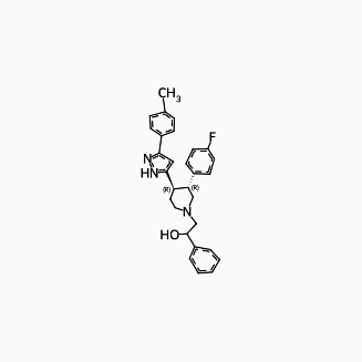 Cc1ccc(-c2cc([C@@H]3CCN(CC(O)c4ccccc4)C[C@H]3c3ccc(F)cc3)[nH]n2)cc1